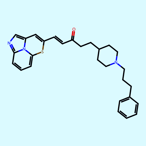 O=C(C=CC1=Cc2cnc3cccc(n23)S1)CCC1CCN(CCCc2ccccc2)CC1